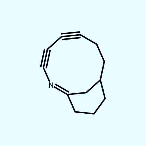 C1#CCCC2CCCC(=NC#C1)C2